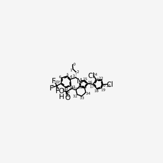 CCC[C@@H](c1ccc(C(F)(F)F)cc1)n1cc(-c2ccc(Cl)cc2Cl)c2c1[C@H](CC(=O)O)CCC2